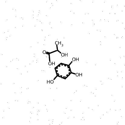 CC(O)C(=O)O.Oc1ccc(O)c(O)c1